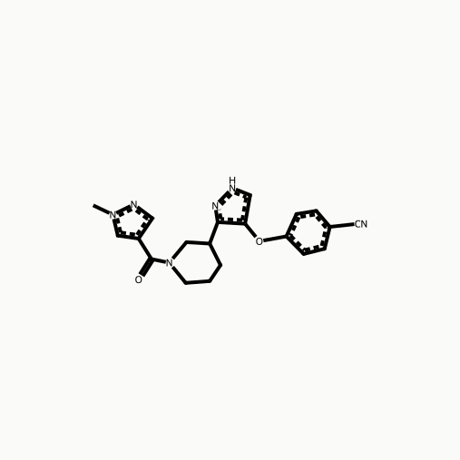 Cn1cc(C(=O)N2CCCC(c3n[nH]cc3Oc3ccc(C#N)cc3)C2)cn1